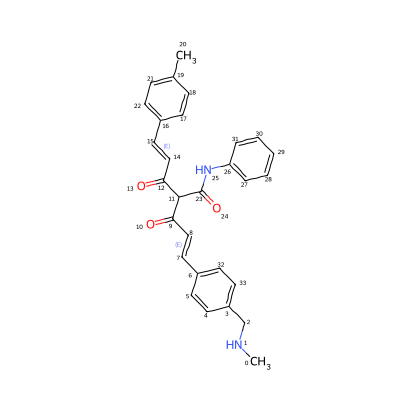 CNCc1ccc(/C=C/C(=O)C(C(=O)/C=C/c2ccc(C)cc2)C(=O)Nc2ccccc2)cc1